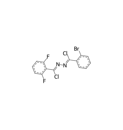 Fc1cccc(F)c1/C(Cl)=N/N=C(\Cl)c1ccccc1Br